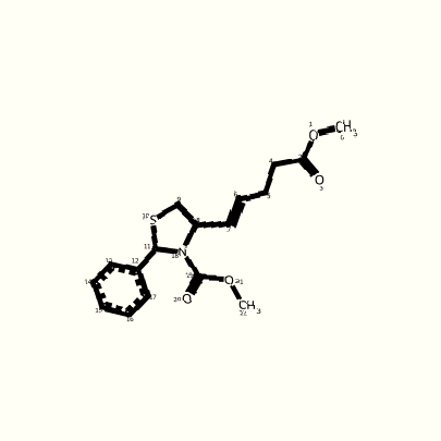 COC(=O)CC/C=C/C1CSC(c2ccccc2)N1C(=O)OC